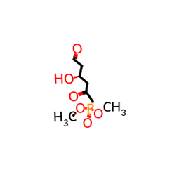 COP(=O)(CC(=O)C[C@@H](O)CC=O)OC